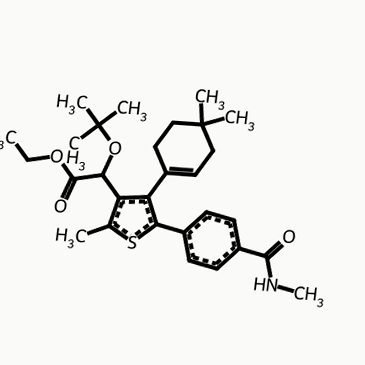 CCOC(=O)C(OC(C)(C)C)c1c(C)sc(-c2ccc(C(=O)NC)cc2)c1C1=CCC(C)(C)CC1